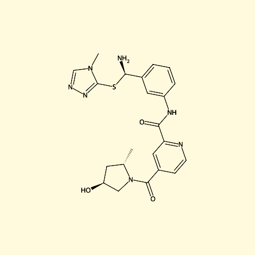 C[C@H]1C[C@H](O)CN1C(=O)c1ccnc(C(=O)Nc2cccc([C@H](N)Sc3nncn3C)c2)c1